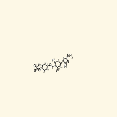 Nc1cc(-c2cc(F)c(COc3ccc(OS(=O)(=O)F)cc3)c(F)c2)[nH]n1